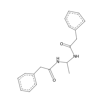 CC(NC(=O)Cc1ccccc1)NC(=O)Cc1ccccc1